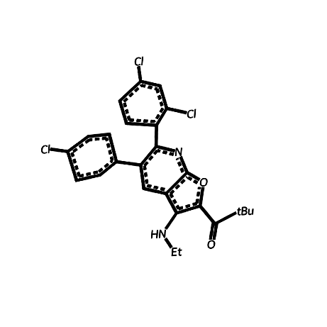 CCNc1c(C(=O)C(C)(C)C)oc2nc(-c3ccc(Cl)cc3Cl)c(-c3ccc(Cl)cc3)cc12